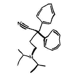 CC(C)N(CCC(C#N)(c1ccccc1)c1ccccc1)C(C)C